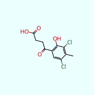 Cc1c(Cl)cc(C(=O)CCC(=O)O)c(O)c1Cl